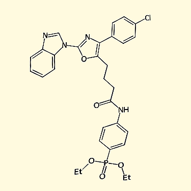 CCOP(=O)(OCC)c1ccc(NC(=O)CCCc2oc(-n3cnc4ccccc43)nc2-c2ccc(Cl)cc2)cc1